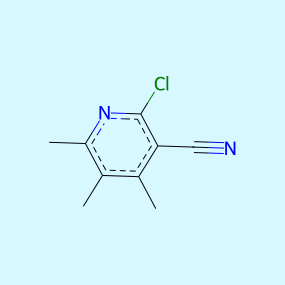 Cc1nc(Cl)c(C#N)c(C)c1C